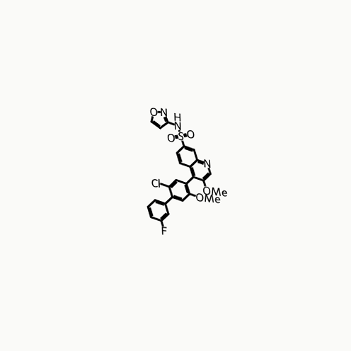 COc1cc(-c2cccc(F)c2)c(Cl)cc1-c1c(OC)cnc2cc(S(=O)(=O)Nc3ccon3)ccc12